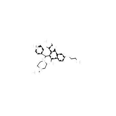 CCOC(=O)c1c(C)oc2c1c(C(c1ccncc1)N1CCN(C)CC1)c(O)c1ccc(OCCC(F)(F)F)cc12